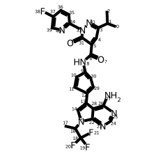 CC(C)c1cc(C(=O)Nc2ccc(-c3cn(C(C)C(F)(F)F)c4ncnc(N)c34)cc2)c(=O)n(-c2ccc(F)cn2)n1